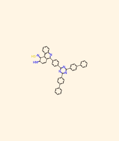 N=C1C=Cc2c(-c3ccc(-c4nc(-c5ccc(-c6ccccc6)cc5)nc(-c5ccc(-c6ccccc6)cc5)n4)cc3)nc3ccccc3c2/C1=N/S